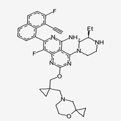 C#Cc1c(F)ccc2cccc(-c3nc(N)c4c(N5CCN[C@H](CC)C5)nc(OCC5(CN6CCOC7(CC7)C6)CC5)nc4c3F)c12